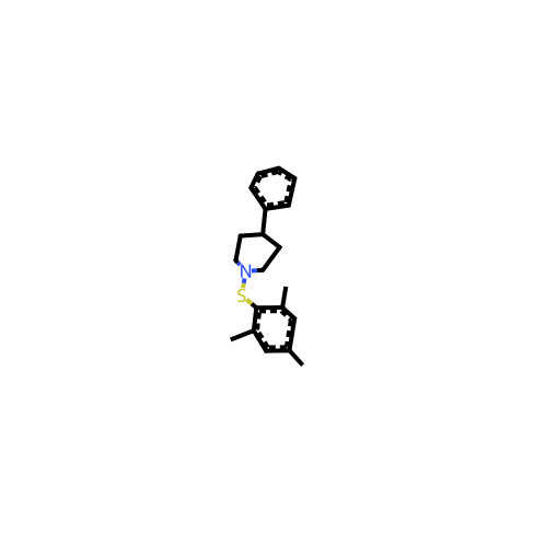 Cc1cc(C)c(SN2CCC(c3ccccc3)CC2)c(C)c1